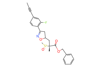 CC#Cc1ccc(C2=NOC(C[C@](C)(C(=O)OCc3ccccc3)[S+](C)[O-])C2)c(F)c1